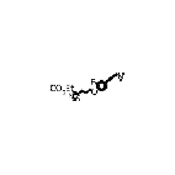 CCOC(=O)c1ncsc1CCCOc1ccc(C#CCN(C)C)cc1F